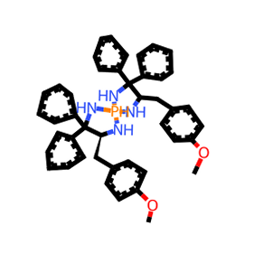 COc1ccc(CC2N[PH]3(N[C@@H](Cc4ccc(OC)cc4)C(c4ccccc4)(c4ccccc4)N3)NC2(c2ccccc2)c2ccccc2)cc1